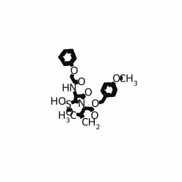 C=C(C)C(C(=O)OCc1ccc(OC)cc1)N1C(=O)C(NC(=O)COc2ccccc2)C1S(=O)O